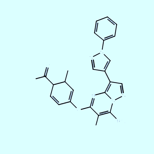 CC1C=C(Oc2nc3c(-c4cnn(-c5ccccc5)c4)cnn3c(N)c2Br)C=CC1C(=O)O